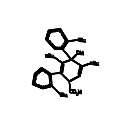 CCCCC1=CC(C(=O)O)C(c2ccccc2C(C)(C)C)=C(CCCC)C1(O)c1ccccc1C(C)(C)C